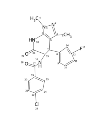 Cc1nn(C)c2c1C(c1cccc(F)c1)C(NC(=O)c1ccc(Cl)cc1)C(=O)N2